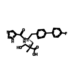 C[C@@](CO)(C[C@@H](Cc1ccc(-c2ccc(F)cc2)cc1)NC(=O)c1cnn[nH]1)C(=O)O